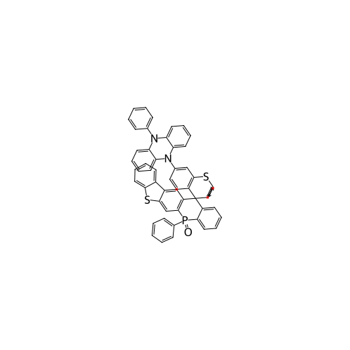 O=P1(c2ccccc2)c2ccccc2C2(c3ccccc3Sc3cc(N4c5ccccc5N(c5ccccc5)c5ccccc54)ccc32)c2cc3c(cc21)sc1ccccc13